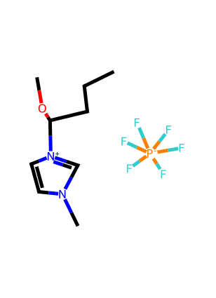 CCCC(OC)[n+]1ccn(C)c1.F[P-](F)(F)(F)(F)F